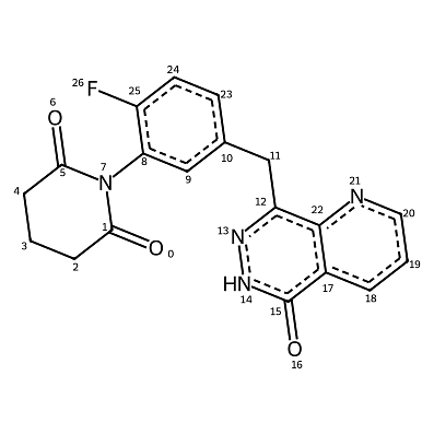 O=C1CCCC(=O)N1c1cc(Cc2n[nH]c(=O)c3cccnc23)ccc1F